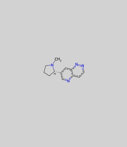 CN1CCC[C@H]1c1cnc2ccnnc2c1